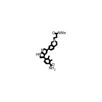 CNC(=O)CCN1CCc2ccc(-c3cnc4[nH]cc(-c5ccc(C(N)=O)c(C)c5C)c4c3)cc2C1